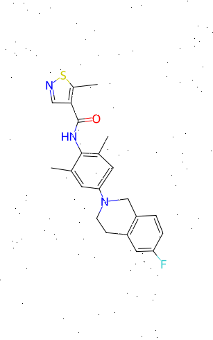 Cc1cc(N2CCc3cc(F)ccc3C2)cc(C)c1NC(=O)c1cnsc1C